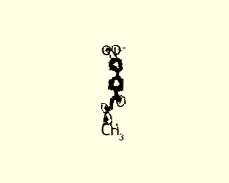 CCOC(=O)CCC(=O)c1ccc(-c2ccc([N+](=O)[O-])cc2)cc1